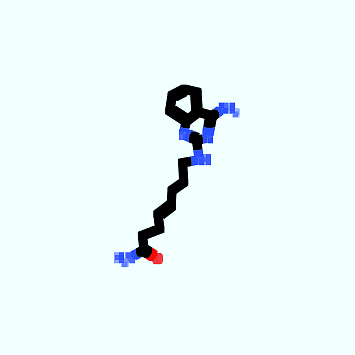 NC(=O)CCC=CCCCNc1nc(N)c2ccccc2n1